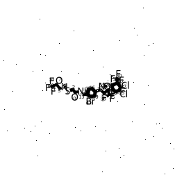 O=C(C=S=NCC(=O)C(F)(F)F)NCc1ccc(C2=NOC(c3cc(Cl)c(Cl)c(C(F)(F)F)c3)(C(F)(F)F)C2)cc1Br